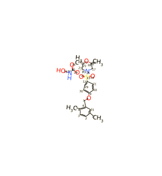 Cc1ccc(C)c(COc2ccc(S(=O)(=O)N3C[C@H](C)O[C@@H](C)[C@H]3OC(=O)NO)cc2)c1